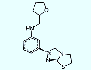 c1cc(NCC2CCCO2)cc([C@H]2CN3CCSC3=N2)c1